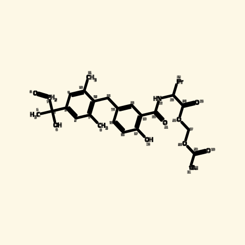 Cc1cc(C(C)(O)[PH2]=O)cc(C)c1Cc1ccc(O)c(C(=O)NC(C(=O)OCOC(=O)C(C)(C)C)C(C)C)c1